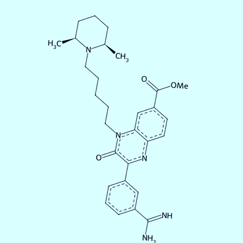 COC(=O)c1ccc2nc(-c3cccc(C(=N)N)c3)c(=O)n(CCCCCN3[C@H](C)CCC[C@@H]3C)c2c1